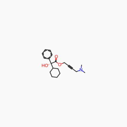 CN(C)CC#CCOC(=O)[C@](O)(c1ccccc1)C1CCCCC1